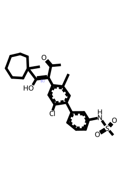 CC(=O)/C(=C(/O)C1(C)CCCCCC1)c1cc(Cl)c(-c2cccc(NS(C)(=O)=O)c2)cc1C